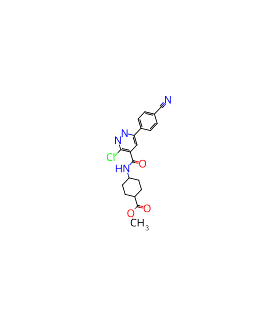 COC(=O)C1CCC(NC(=O)c2cc(-c3ccc(C#N)cc3)nnc2Cl)CC1